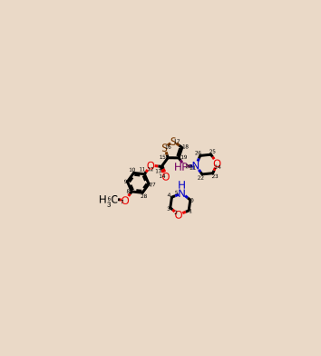 C1COCCN1.COc1ccc(OC(=O)C2SSC=C2PN2CCOCC2)cc1